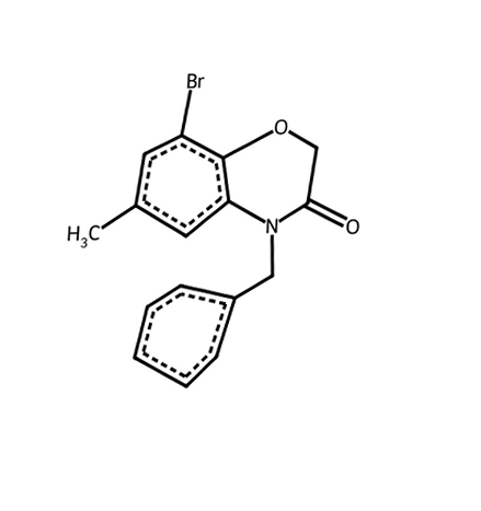 Cc1cc(Br)c2c(c1)N(Cc1ccccc1)C(=O)CO2